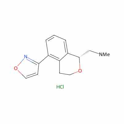 CNC[C@@H]1OCCc2c(-c3ccon3)cccc21.Cl